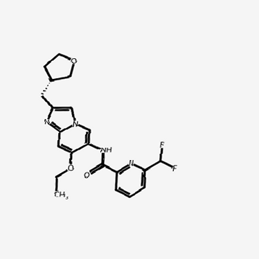 CCOc1cc2nc(C[C@@H]3CCOC3)cn2cc1NC(=O)c1cccc(C(F)F)n1